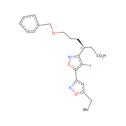 CC(C)(C)Cc1cc(-c2onc([C@@H](CCCOCc3ccccc3)CC(=O)O)c2I)no1